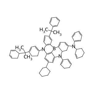 CC(C)(c1ccccc1)c1ccc2c(c1)B1C3=CC=C(N(c4ccccc4)C4C=CCCC4)CC3N(C3=CCCC=C3)c3cc(C4CCCCC4)cc(c31)N2C1=CC=C(C(C)(C)C2C=CC=CC2)CC1